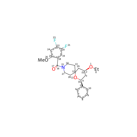 CCO[C@H]1C[C@@H](c2ccccc2)OC2(CCN(C(=O)c3cc(F)c(F)cc3OC)CC2)C1